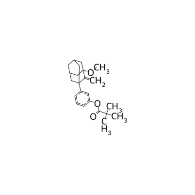 C=C1C2(OC)CC3CC(C2)CC1(c1cccc(OC(=O)C(C)(C)C)c1)C3